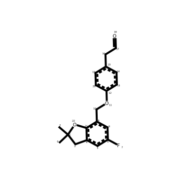 CC1(C)Cc2cc(F)cc(COc3ccc(CC=O)cc3)c2O1